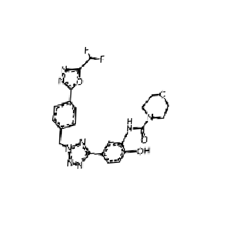 O=C(Nc1cc(-c2nnn(Cc3ccc(-c4nnc(C(F)F)o4)cc3)n2)ccc1O)N1CCOCC1